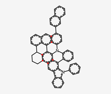 c1ccc(-n2c3ccccc3c3cccc(-c4ccccc4N(c4ccc(-c5ccc6ccccc6c5)cc4)c4ccccc4-c4cccc5cccc(C6CCCCC6)c45)c32)cc1